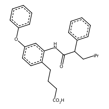 CC(C)CC(C(=O)Nc1cc(Oc2ccccc2)ccc1CCCC(=O)O)c1ccccc1